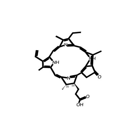 C=Cc1c(C)c2cc3nc(c4c5[nH]c(cc6nc(cc1[nH]2)C(C)=C6CC)c(C)c5C(=O)C4)[C@@H](CCC(=O)O)[C@@H]3C